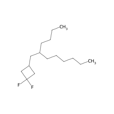 CCCCCCC(CCCC)CC1CC(F)(F)C1